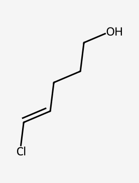 OCCCC=CCl